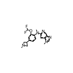 CN1CC(c2ccc(N(C)c3cc4c(cn3)ncn4C)c(OC(F)F)c2)C1